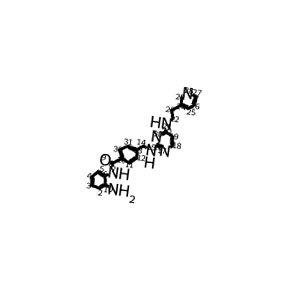 Nc1ccccc1NC(=O)c1ccc(CNc2nccc(NCCc3cccnc3)n2)cc1